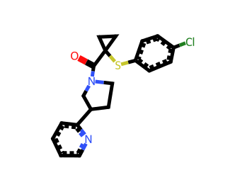 O=C(N1CCC(c2ccccn2)C1)C1(Sc2ccc(Cl)cc2)CC1